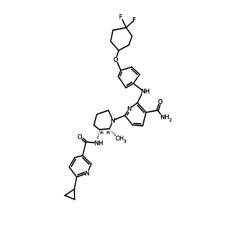 C[C@@H]1[C@H](NC(=O)c2ccc(C3CC3)nc2)CCCN1c1ccc(C(N)=O)c(Nc2ccc(OC3CCC(F)(F)CC3)cc2)n1